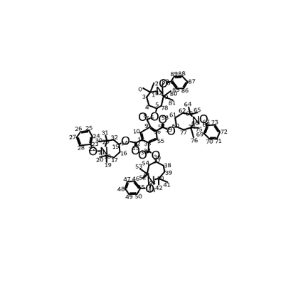 CC1(C)CCC(OC(=O)c2cc(C(=O)OC3CCC(C)(C)N(Oc4ccccc4)C(C)(C)C3)c(C(=O)OC3CCC(C)(C)N(Oc4ccccc4)C(C)(C)C3)cc2C(=O)OC2CCC(C)(C)N(Oc3ccccc3)C(C)(C)C2)CC(C)(C)N1Oc1ccccc1